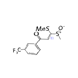 CS/C(=C\C(=O)c1cccc(C(F)(F)F)c1)[S+](C)[O-]